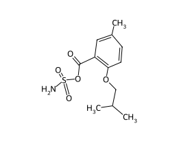 Cc1ccc(OCC(C)C)c(C(=O)OS(N)(=O)=O)c1